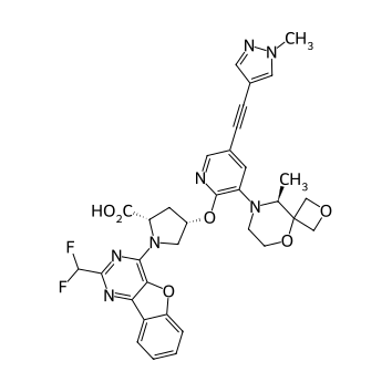 C[C@@H]1N(c2cc(C#Cc3cnn(C)c3)cnc2O[C@H]2C[C@@H](C(=O)O)N(c3nc(C(F)F)nc4c3oc3ccccc34)C2)CCOC12COC2